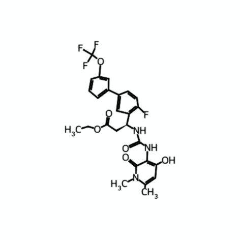 CCOC(=O)C[C@H](NC(=O)Nc1c(O)cc(C)n(C)c1=O)c1cc(-c2cccc(OC(F)(F)F)c2)ccc1F